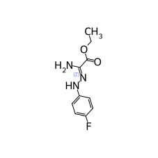 CCOC(=O)/C(N)=N/Nc1ccc(F)cc1